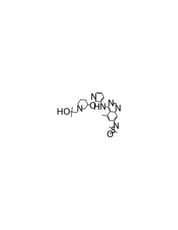 Cc1cc(N=S(C)(C)=O)cc2ncnc(Nc3cccnc3O[C@@H]3CCCN(CC(C)(C)O)C3)c12